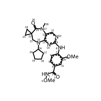 CONC(=O)c1ccc(Nc2ncc3c(n2)N(C2CCCC2)CC2(CC2)C(=O)N3C)c(OC)c1